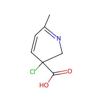 CC1=NCC(Cl)(C(=O)O)C=C1